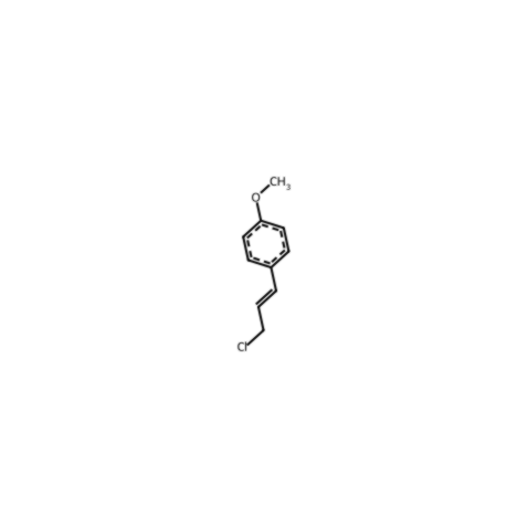 COc1ccc(/C=C/CCl)cc1